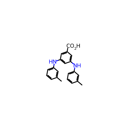 Cc1cccc(Nc2cc(Nc3cccc(C)c3)cc(C(=O)O)c2)c1